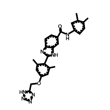 Cc1ccc(NC(=O)c2ccc3nc(-c4c(C)cc(OCc5nnn[nH]5)cc4C)[nH]c3c2)cc1C